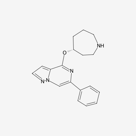 c1ccc(-c2cn3nccc3c(O[C@@H]3CCCNCC3)n2)cc1